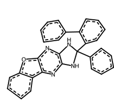 c1ccc(-c2ccccc2C2(c3ccccc3)Nc3nc4oc5ccccc5c4nc3N2)cc1